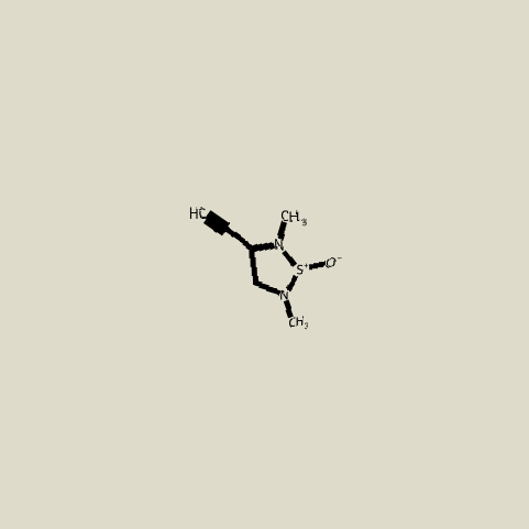 C#CC1CN(C)[S+]([O-])N1C